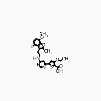 CCOc1cc(-c2cc(NCCc3c(C)oc4c(OC)ccc(F)c34)ncn2)sc1C(=O)O